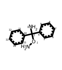 NOC(N)(c1ccccc1)c1ccccc1